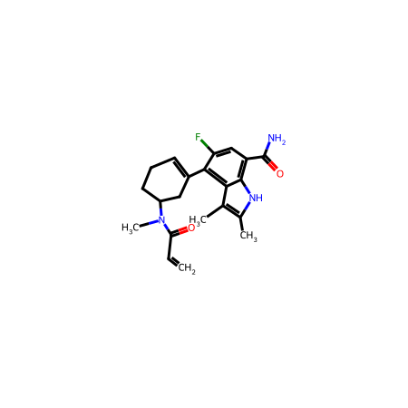 C=CC(=O)N(C)C1CCC=C(c2c(F)cc(C(N)=O)c3[nH]c(C)c(C)c23)C1